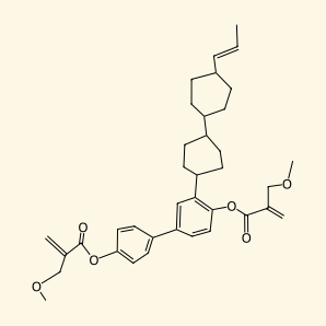 C=C(COC)C(=O)Oc1ccc(-c2ccc(OC(=O)C(=C)COC)c(C3CCC(C4CCC(/C=C/C)CC4)CC3)c2)cc1